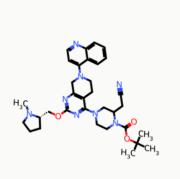 CN1CCC[C@H]1COc1nc2c(c(N3CCN(C(=O)OC(C)(C)C)C(CC#N)C3)n1)CCN(c1ccnc3ccccc13)C2